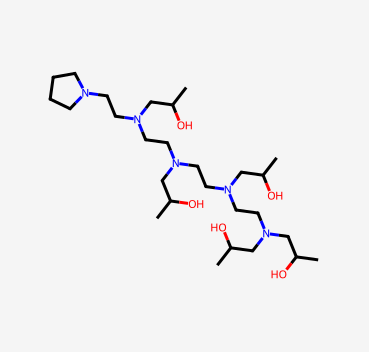 CC(O)CN(CCN1CCCC1)CCN(CCN(CCN(CC(C)O)CC(C)O)CC(C)O)CC(C)O